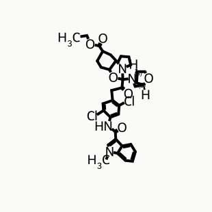 CCOC(=O)C1CCC(OC(C(=O)Cc2cc(Cl)c(NC(=O)c3cn(C)c4ccccc34)cc2Cl)(N2CCCC2)N2C[C@@H]3C[C@H]2CO3)CC1